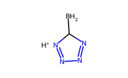 BC1N=NN=N1.[H+]